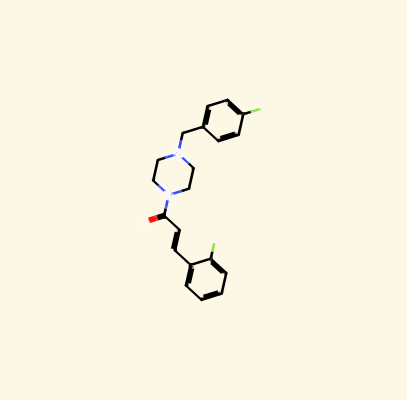 O=C(C=Cc1ccccc1F)N1CCN(Cc2ccc(F)cc2)CC1